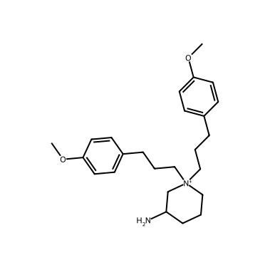 COc1ccc(CCC[N+]2(CCCc3ccc(OC)cc3)CCCC(N)C2)cc1